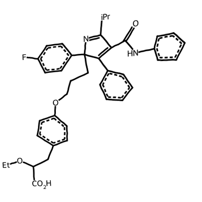 CCOC(Cc1ccc(OCCCC2(c3ccc(F)cc3)N=C(C(C)C)C(C(=O)Nc3ccccc3)=C2c2ccccc2)cc1)C(=O)O